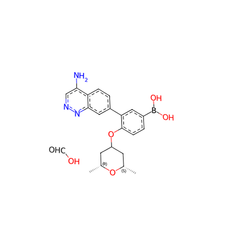 C[C@@H]1CC(Oc2ccc(B(O)O)cc2-c2ccc3c(N)cnnc3c2)C[C@H](C)O1.O=CO